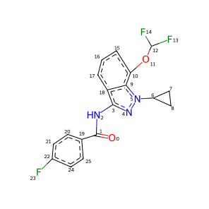 O=C(Nc1nn(C2CC2)c2c(OC(F)F)cccc12)c1ccc(F)cc1